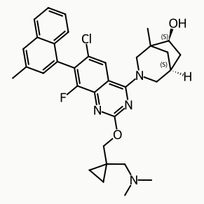 Cc1cc(-c2c(Cl)cc3c(N4C[C@@H]5C[C@H](O)C(C)(C5)C4)nc(OCC4(CN(C)C)CC4)nc3c2F)c2ccccc2c1